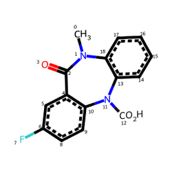 CN1C(=O)c2cc(F)ccc2N(C(=O)O)c2ccccc21